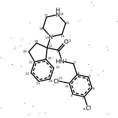 O=C(NCc1ccc(Cl)cc1Cl)C1(N2CCNCC2)CCc2ccccc21